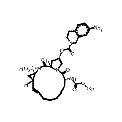 CC(C)(C)OC(=O)N[C@H]1CCCCC/C=C/[C@@H]2C[C@@]2(C(=O)O)NC(=O)[C@@H]2C[C@@H](OC(=O)N3CCc4ccc(N)cc4C3)CN2C1=O